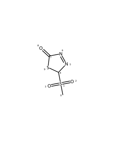 CS(=O)(=O)C1N=NC(=O)S1